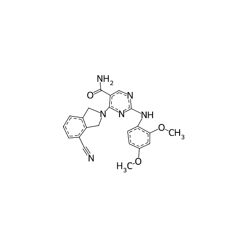 COc1ccc(Nc2ncc(C(N)=O)c(N3Cc4cccc(C#N)c4C3)n2)c(OC)c1